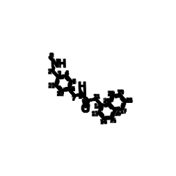 CNCc1ccc(CNC(=O)Cc2cccc3ccccc23)cc1